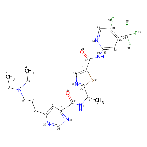 CCN(CC)CCCc1cc(C(=O)NC(C)c2ncc(C(=O)Nc3cc(C(F)(F)F)c(Cl)cn3)s2)ncn1